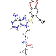 C#Cc1cc2c(cc1Sc1nc3c(N)ncnc3n1CCCNC(=O)C1CC1)OCO2